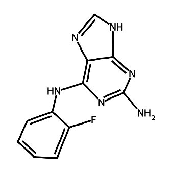 Nc1nc(Nc2ccccc2F)c2nc[nH]c2n1